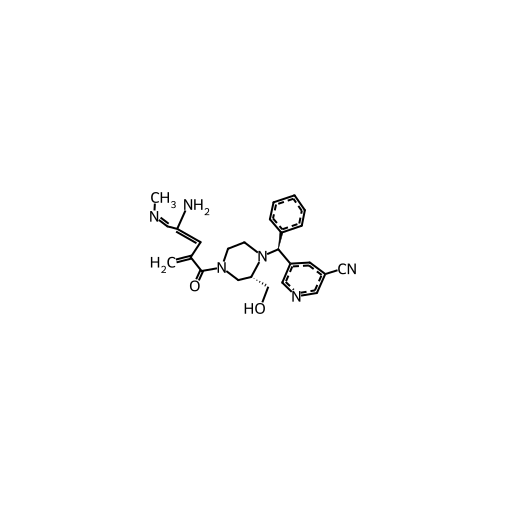 C=C(/C=C(N)\C=N/C)C(=O)N1CCN([C@@H](c2ccccc2)c2cncc(C#N)c2)[C@H](CO)C1